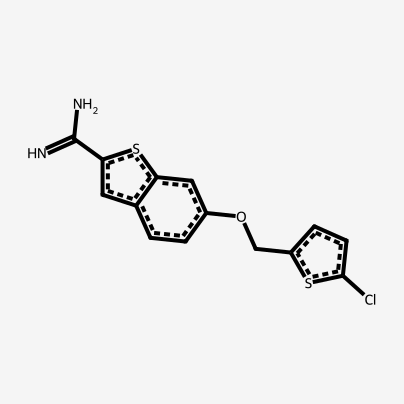 N=C(N)c1cc2ccc(OCc3ccc(Cl)s3)cc2s1